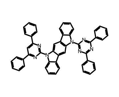 c1ccc(-c2cc(-c3ccccc3)nc(-n3c4ccccc4c4cc5c(cc43)c3ccccc3n5-c3nc(-c4ccccc4)nc(-c4ccccc4)n3)n2)cc1